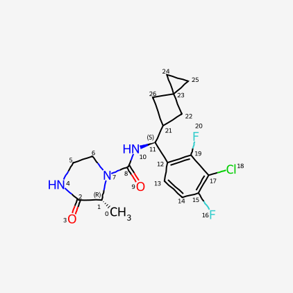 C[C@@H]1C(=O)NCCN1C(=O)N[C@H](c1ccc(F)c(Cl)c1F)C1CC2(CC2)C1